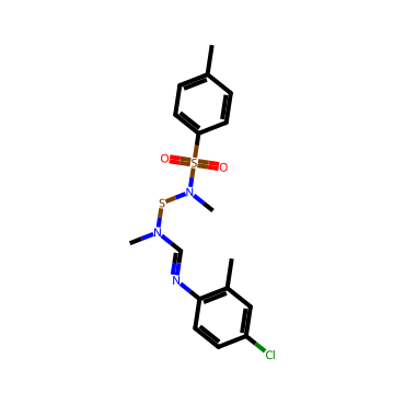 Cc1ccc(S(=O)(=O)N(C)SN(C)/C=N/c2ccc(Cl)cc2C)cc1